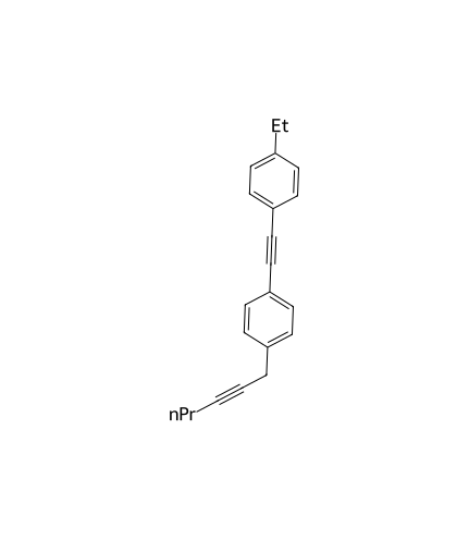 CCCC#CCc1ccc(C#Cc2ccc(CC)cc2)cc1